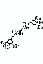 CC(C)(C)C1=CC(C=CC(=O)NCCCNC(=O)C=CC2C=C(C(C)(C)C)C(O)=C(C(C)(C)C)C2)CC(C(C)(C)C)=C1O